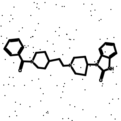 O=C(c1ccccc1)N1CCC(CCN2CCC(n3c(=O)[nH]c4ccccc43)CC2)CC1